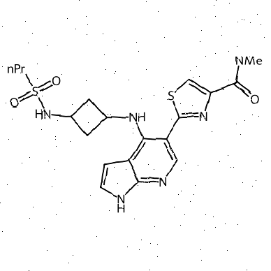 CCCS(=O)(=O)NC1CC(Nc2c(-c3nc(C(=O)NC)cs3)cnc3[nH]ccc23)C1